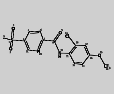 CS(=O)(=O)c1ccc(C(=O)Nc2ccc(OC(F)(F)F)cc2Cl)nc1